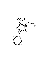 O=C(O)c1nc(-c2ccccc2)oc1CC(F)(F)F